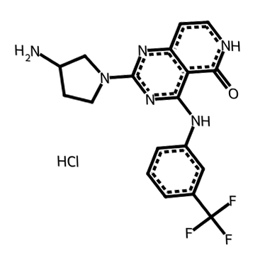 Cl.NC1CCN(c2nc(Nc3cccc(C(F)(F)F)c3)c3c(=O)[nH]ccc3n2)C1